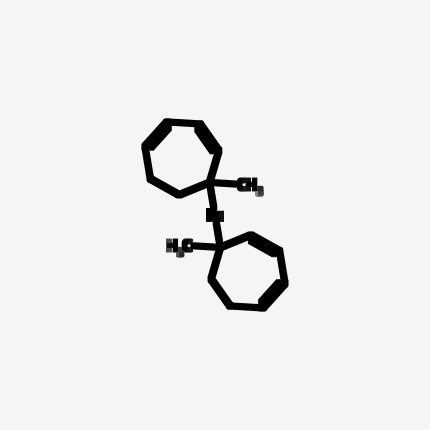 C[C]1([Ru][C]2(C)C=CC=CCC2)C=CC=CCC1